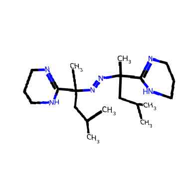 CC(C)CC(C)(N=NC(C)(CC(C)C)C1=NCCCN1)C1=NCCCN1